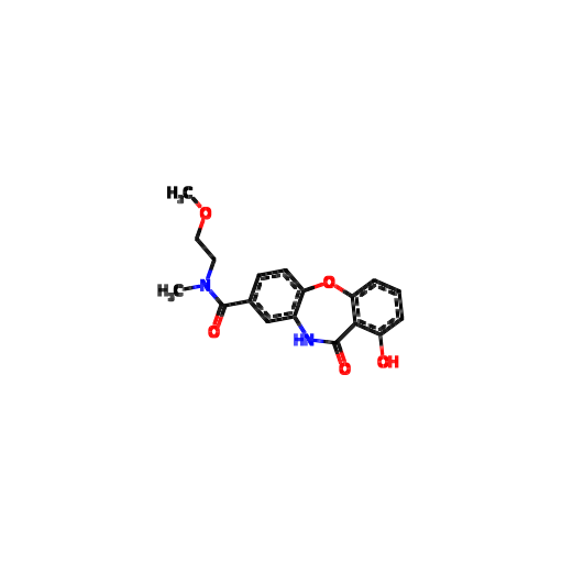 COCCN(C)C(=O)c1ccc2c(c1)NC(=O)c1c(O)cccc1O2